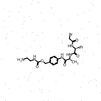 CC(C)[C@H](NC(=O)CBr)C(=O)N[C@@H](C)C(=O)Nc1ccc(COC(=O)NCCN)cc1